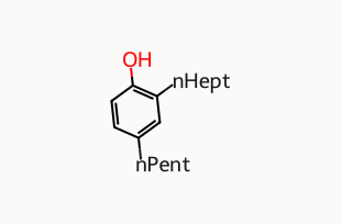 CCCCCCCc1cc(CCCCC)ccc1O